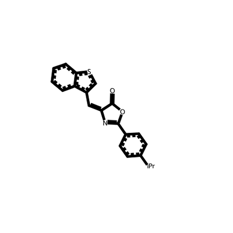 CC(C)c1ccc(C2=NC(=Cc3csc4ccccc34)C(=O)O2)cc1